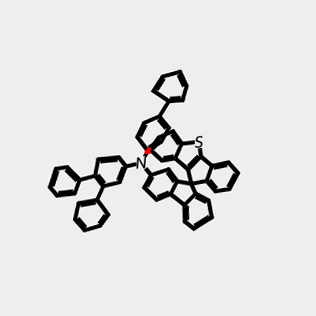 c1ccc(-c2ccc(N(c3ccc(-c4ccccc4)c(-c4ccccc4)c3)c3ccc4c(c3)C3(c5ccccc5-4)c4ccccc4-c4sc5ccccc5c43)cc2)cc1